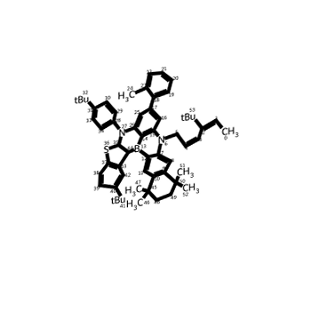 C/C=C(\C=C/CN1c2cc3c(cc2B2c4c1cc(-c1ccccc1C)cc4N(c1ccc(C(C)(C)C)cc1)C1Sc4ccc(C(C)(C)C)cc4C21)C(C)(C)CCC3(C)C)C(C)(C)C